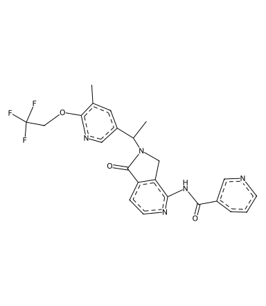 Cc1cc(C(C)N2Cc3c(ccnc3NC(=O)c3cccnc3)C2=O)cnc1OCC(F)(F)F